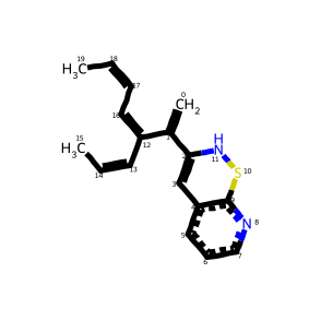 C=C(C1=Cc2cccnc2SN1)C(/C=C\C)=C\C=C/C